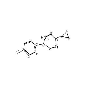 Brc1ccc(C2COC(C3CC3)CN2)cc1